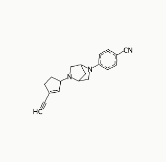 C#CC1=CC(N2CC3CC2CN3c2ccc(C#N)cc2)CC1